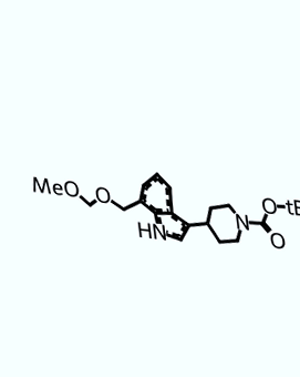 COCOCc1cccc2c(C3CCN(C(=O)OC(C)(C)C)CC3)c[nH]c12